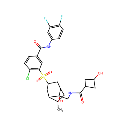 C[C@H]1CC2CC(S(=O)(=O)c3cc(C(=O)Nc4ccc(F)c(F)c4)ccc3Cl)CC1[C@@]2(O)CNC(=O)C1CC(O)C1